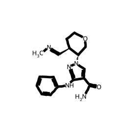 CN=C[C@H]1CCOC[C@@H]1n1cc(C(N)=O)c(Nc2ccccc2)n1